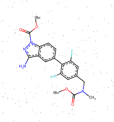 CN(Cc1cc(F)c(-c2ccc3c(c2)c(N)nn3C(=O)OC(C)(C)C)c(F)c1)C(=O)OC(C)(C)C